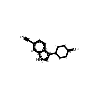 N#Cc1ccc2c(C3CCC(=O)CC3)c[nH]c2c1